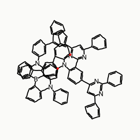 c1ccc(-c2ccc3c(c2)c2cc(-c4ccccc4)ccc2n3-c2ccc(-c3cc(-c4ccccc4)nc(-c4ccccc4)n3)cc2-c2nc(-c3ccccc3)cc(-c3cccc(-c4cccc(N5c6ccccc6B6c7ccccc7N(c7ccccc7)c7cccc5c76)c4)c3)n2)cc1